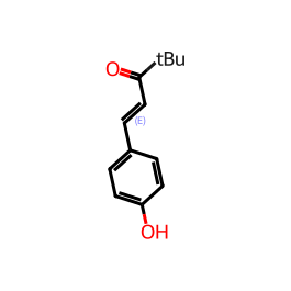 CC(C)(C)C(=O)/C=C/c1ccc(O)cc1